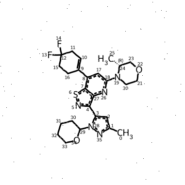 Cc1cc(-c2nsc3c(C4=CCC(F)(F)CC4)cc(N4CCOC[C@H]4C)nc23)n(C2CCCCO2)n1